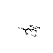 CCCCC(CC)COP(=O)(O)O.[NaH]